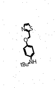 CC(C)(C)Nc1ccc(OCc2nccs2)cc1